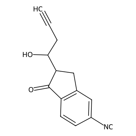 [C-]#[N+]c1ccc2c(c1)CC(C(O)CC#C)C2=O